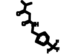 CC(C)C(=O)CC(=O)NCc1ccc(C(F)(F)F)cc1